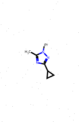 Cc1nc(C2CC2)nn1C(C)C